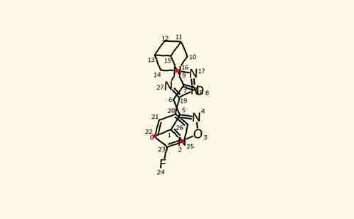 Cc1nonc1CC(=O)N1CC2CC(C1)C2n1nnc(-c2ccc(F)cc2)n1